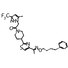 C/C(=N\OCCCCc1ccccc1)c1csc(C2CCN(C(=O)Cn3nc(C(F)(F)F)cc3C)CC2)n1